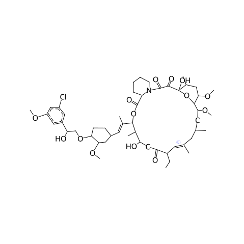 CCC1/C=C(\C)CC(C)CC(OC)C2OC(O)(C(=O)C(=O)N3CCCCC3C(=O)OC(C(C)=CC3CCC(OCC(O)c4cc(Cl)cc(OC)c4)C(OC)C3)C(C)C(O)CC1=O)C(C)CC2OC